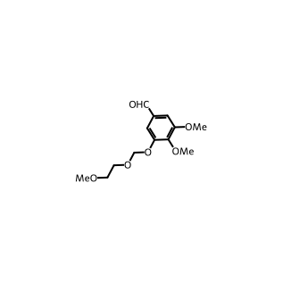 COCCOCOc1cc(C=O)cc(OC)c1OC